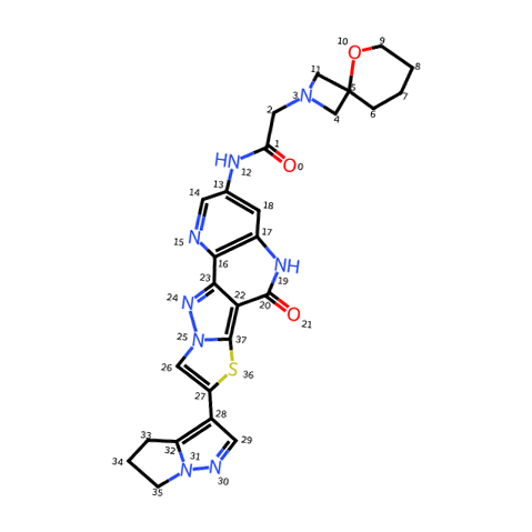 O=C(CN1CC2(CCCCO2)C1)Nc1cnc2c(c1)[nH]c(=O)c1c2nn2cc(-c3cnn4c3CCC4)sc12